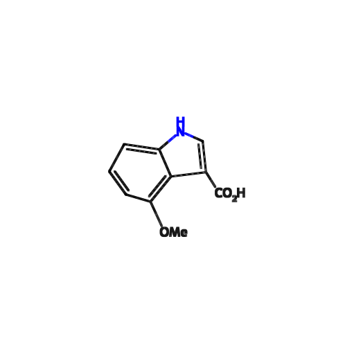 COc1cccc2[nH]cc(C(=O)O)c12